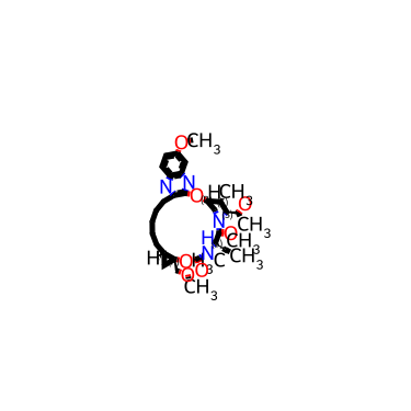 COC[C@@]12C[C@H]1CCCCCc1nc3ccc(OC)cc3nc1O[C@H]1CN(C(=O)[C@H](C(C)(C)C)NC(=O)O2)[C@H](C(C)=O)[C@@H]1C